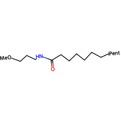 CCCC(C)CCCCCCC(=O)NCCCOC